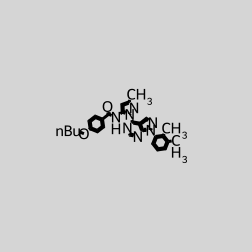 CCCCOc1ccc(C(=O)Nc2cc(C)nn2-c2ncnc3c2cnn3-c2cccc(C)c2C)cc1